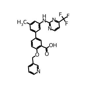 Cc1cc(Nc2nccc(C(F)(F)F)n2)cc(-c2ccc(OCc3cccnc3)c(C(=O)O)c2)c1